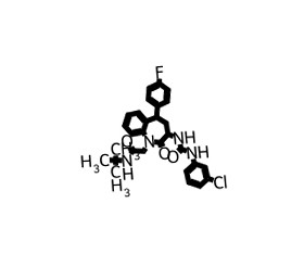 CC(C)(C)NC(=O)CN1C(=O)C(NC(=O)Nc2cccc(Cl)c2)CC(c2ccc(F)cc2)c2ccccc21